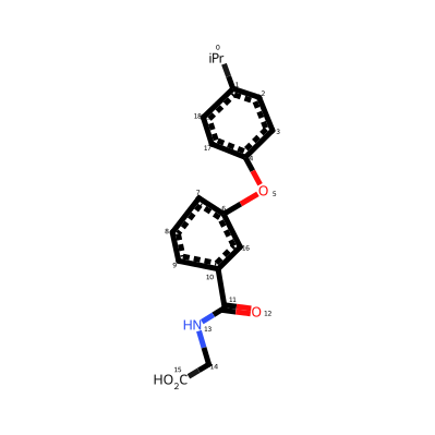 CC(C)c1ccc(Oc2cccc(C(=O)NCC(=O)O)c2)cc1